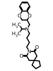 CC(C)N(CCCCN1C(=O)CC2(CCCC2)CC1=O)CC1COc2ccccc2O1